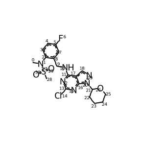 CN(c1ccc(F)cc1CNc1nc(Cl)nc2c1cnn2C1CCCCO1)S(C)(=O)=O